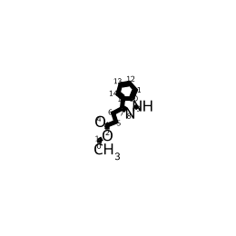 CCOC(=O)CCc1n[nH]c2ccccc12